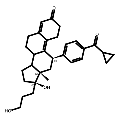 C[C@]12C[C@H](c3ccc(C(=O)C4CC4)cc3)C3=C4CCC(=O)C=C4CCC3C1CC[C@@]2(O)CCCO